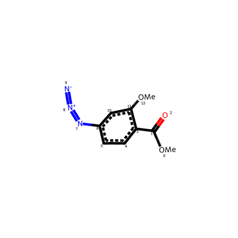 COC(=O)c1ccc(N=[N+]=[N-])cc1OC